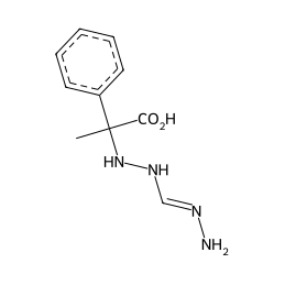 CC(NNC=NN)(C(=O)O)c1ccccc1